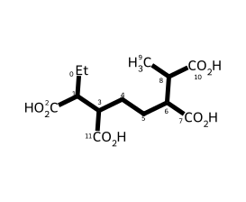 CCC(C(=O)O)C(CCC(C(=O)O)C(C)C(=O)O)C(=O)O